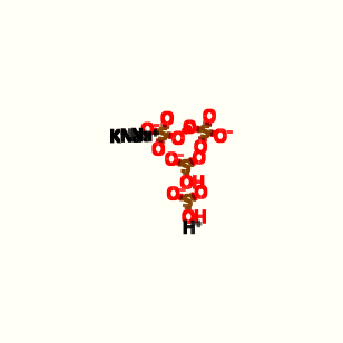 O=S(=O)([O-])OOS(=O)(=O)[O-].O=S([O-])O.O=S([O-])O.[H+].[K+].[Na+].[Na+]